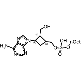 CCCCCCCCOP(=O)(O)OC[C@H]1C[C@@H](n2cnc3c(N)ncnc32)[C@H]1CO